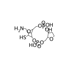 NCCC1C2COP(=O)(O)O[C@@H]3CCOC3COP(=O)(O)OC1C(S)O2